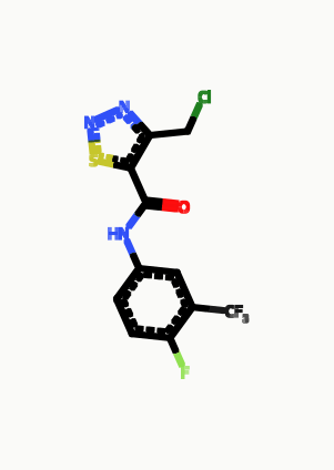 O=C(Nc1ccc(F)c(C(F)(F)F)c1)c1snnc1CCl